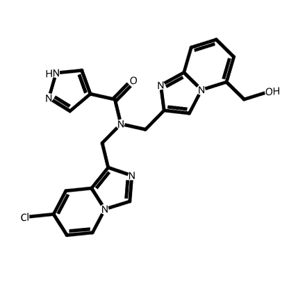 O=C(c1cn[nH]c1)N(Cc1cn2c(CO)cccc2n1)Cc1ncn2ccc(Cl)cc12